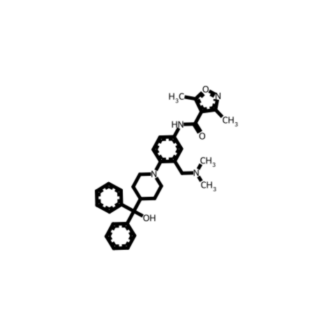 Cc1noc(C)c1C(=O)Nc1ccc(N2CCC(C(O)(c3ccccc3)c3ccccc3)CC2)c(CN(C)C)c1